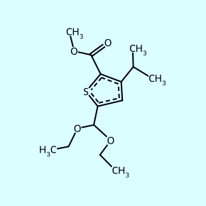 CCOC(OCC)c1cc(C(C)C)c(C(=O)OC)s1